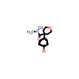 CN(C)C(=O)C1(c2ccc(Br)cc2)CCOCC1